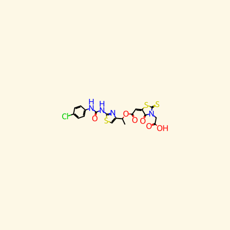 CC(OC(=O)C=C1SC(=S)N(CC(=O)O)C1=O)c1csc(NC(=O)Nc2ccc(Cl)cc2)n1